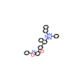 c1ccc(-c2nc(-c3ccc4ccccc4c3)nc(-c3ccc(-c4ccc5c(c4)oc4ccc6oc(-c7ccccc7)nc6c45)c4ccccc34)n2)cc1